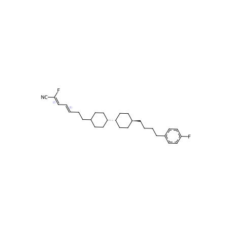 N#C/C(F)=C/C=C/CCC1CCC([C@H]2CC[C@H](CCCCc3ccc(F)cc3)CC2)CC1